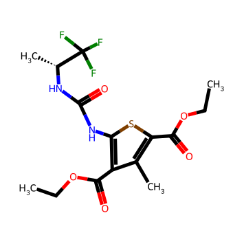 CCOC(=O)c1sc(NC(=O)N[C@H](C)C(F)(F)F)c(C(=O)OCC)c1C